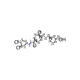 O=C(/C=C/c1ccc(Cl)c(Cl)c1)N1CCC(=O)N(CCCN2CCCC(CO)C2)CC1